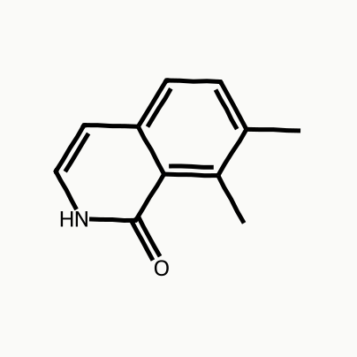 Cc1ccc2cc[nH]c(=O)c2c1C